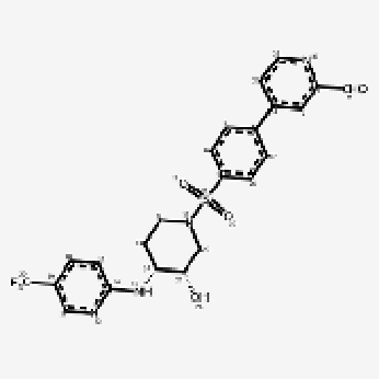 O=Cc1cc(-c2ccc(S(=O)(=O)N3CC[C@@H](Nc4ccc(C(F)(F)F)cn4)[C@@H](O)C3)cc2)ccn1